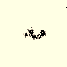 CC(C)(O)CON=C(c1ccc(F)c(F)c1)c1ccc(CN2CCC(c3cnn4ncccc34)CC2)cn1